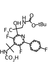 CC(C)(C)OC(=O)NCC(O)(c1nc(-c2ccc(F)cc2)c(F)c(C(C)(C)NC(=O)O)c1F)C(F)(F)F